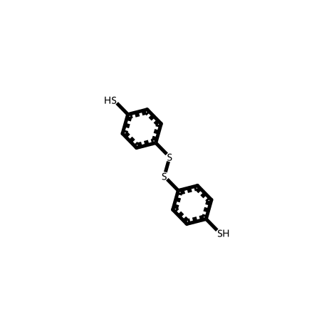 Sc1ccc(SSc2ccc(S)cc2)cc1